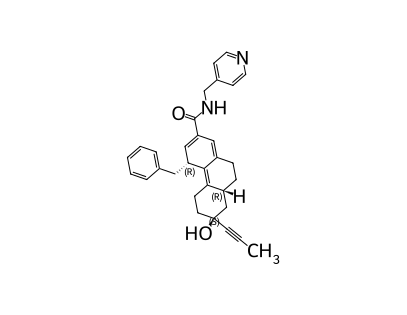 CC#C[C@]1(O)CCC2=C3C(=CC(C(=O)NCc4ccncc4)=C[C@H]3Cc3ccccc3)CC[C@@H]2C1